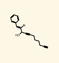 C#CCCCCC#CC(O)/C(Br)=C/c1ccccc1